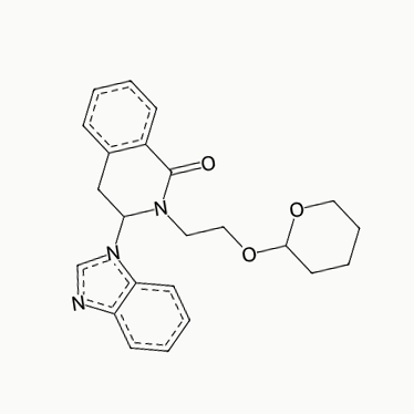 O=C1c2ccccc2CC(n2cnc3ccccc32)N1CCOC1CCCCO1